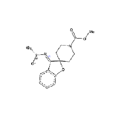 CC(C)(C)OC(=O)N1CCC2(CC1)Oc1ccccc1/C2=N\[S@+]([O-])C(C)(C)C